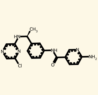 C[C@H](Nc1cncc(Cl)n1)c1cccc(NC(=O)c2ccc(N)nc2)c1